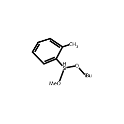 CCC(C)O[SiH](OC)c1ccccc1C